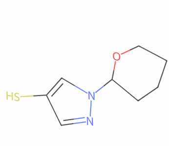 Sc1cnn(C2CCCCO2)c1